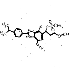 COCCC(OS(C)(=O)=O)c1cc(OC)c2[nH]c(-c3ccc(C(C)C)cc3)nc2c1Br